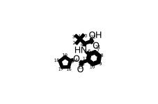 CC(C)(C)C(Nc1ccccc1C(=O)OC1CCCC1)C(=O)O